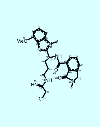 COc1cccc2c1nc([C@H](CCCNC(=N)CCl)NC(=O)c1cccc3c1C(=O)N(C)C3)n2C